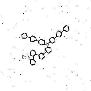 CCn1c2ccccc2c2c(-c3cccc(-c4cccc(N(c5ccc(-c6ccc(-c7ccccc7)cc6)cc5)c5ccc(-c6ccc(-c7ccccc7)cc6)cc5)c4)c3)cccc21